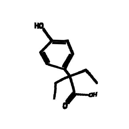 CCC(CC)(C(=O)O)c1ccc(O)cc1